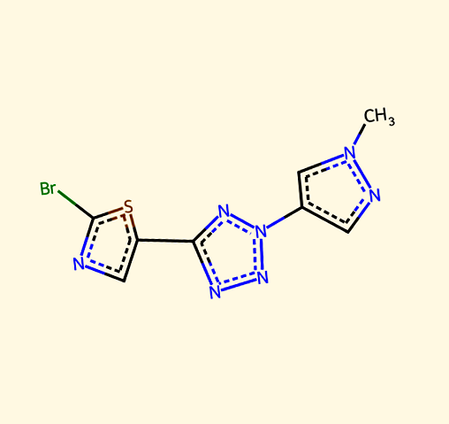 Cn1cc(-n2nnc(-c3cnc(Br)s3)n2)cn1